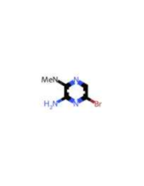 CNc1ncc(Br)nc1N